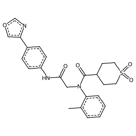 Cc1ccccc1N(CC(=O)Nc1ccc(-c2cocn2)cc1)C(=O)C1CCS(=O)(=O)CC1